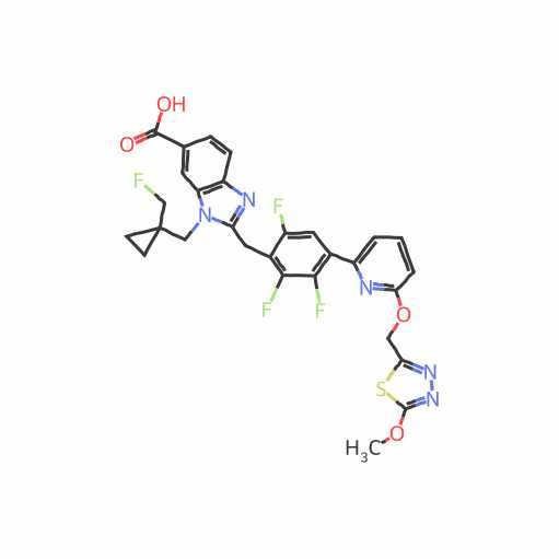 COc1nnc(COc2cccc(-c3cc(F)c(Cc4nc5ccc(C(=O)O)cc5n4CC4(CF)CC4)c(F)c3F)n2)s1